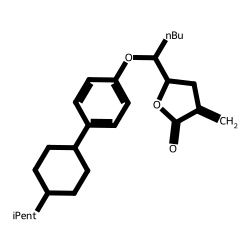 C=C1CC(C(CCCC)Oc2ccc(C3CCC(C(C)CCC)CC3)cc2)OC1=O